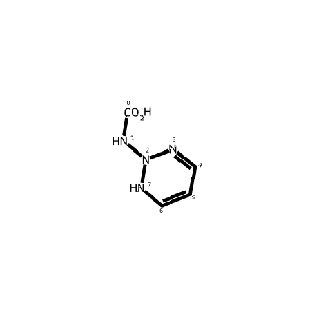 O=C(O)NN1N=CC=CN1